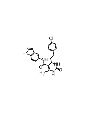 CC1=C(C(=O)Nc2ccc3[nH]ncc3c2)C(CCc2ccc(Cl)cc2)NC(=O)N1